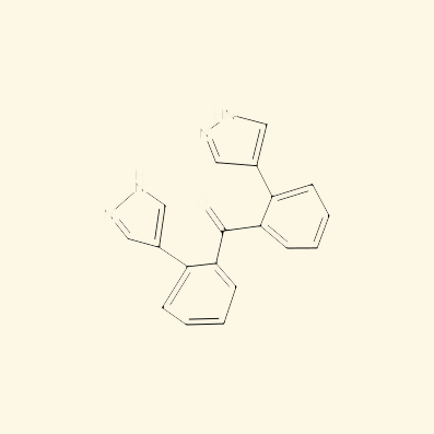 O=C(c1ccccc1-c1cn[nH]c1)c1ccccc1-c1cn[nH]c1